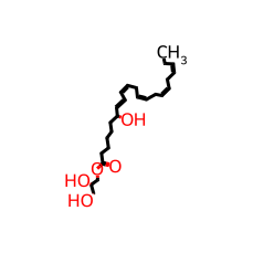 CC/C=C\C/C=C\C/C=C\C/C=C\C=C\C(O)CCCCCC(=O)OCC(O)CO